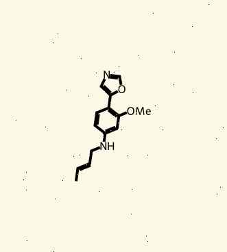 C/C=C/CNc1ccc(-c2cnco2)c(OC)c1